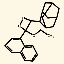 CCOC1(c2cccc3ccccc23)OOC1C1C2CC3CC(C2)CC1C3